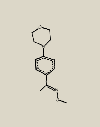 CON=C(C)c1ccc(N2CCOCC2)cc1